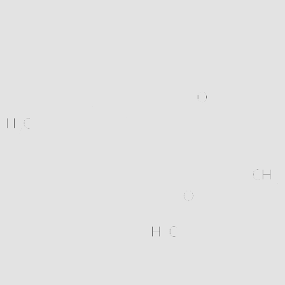 CCc1cccc(OC(CC)COC)c1